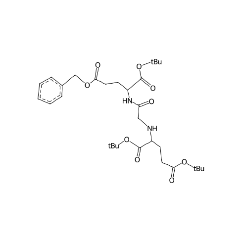 CC(C)(C)OC(=O)CCC(NCC(=O)NC(CCC(=O)OCc1ccccc1)C(=O)OC(C)(C)C)C(=O)OC(C)(C)C